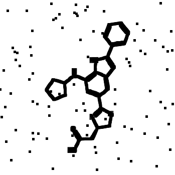 O=C(O)C[C@@H]1CSC(c2cc(NC3CCCC3)c3[nH]c(-c4ccccc4)cc3c2)=N1